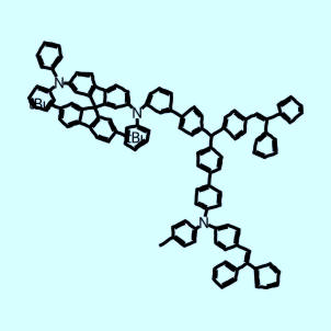 Cc1ccc(N(c2ccc(C=C(c3ccccc3)c3ccccc3)cc2)c2ccc(-c3ccc(C(c4ccc(C=C(c5ccccc5)c5ccccc5)cc4)c4ccc(-c5cccc(N(c6ccccc6)c6ccc7c(c6)C6(c8cc(N(c9ccccc9)c9ccccc9)ccc8-7)c7cc(C(C)(C)C)ccc7-c7ccc(C(C)(C)C)cc76)c5)cc4)cc3)cc2)cc1